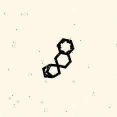 C1=C2CC(C1)C1(CCc3ccccc3C1)C2